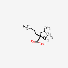 CCCC(C)(CC(C)C)C(=O)O